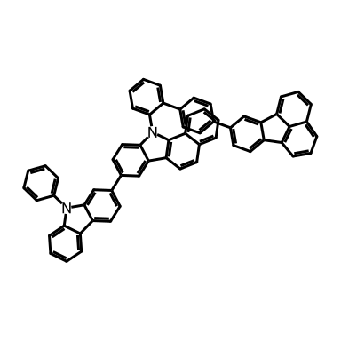 c1ccc(-n2c3ccccc3c3ccc(-c4ccc5c(c4)c4ccc6ccccc6c4n5-c4ccccc4-c4ccc(-c5ccc6c(c5)-c5cccc7cccc-6c57)cc4)cc32)cc1